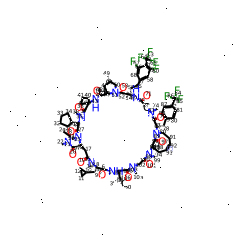 CC[C@H](C)[C@@H]1NC(=O)[C@H](CC2CC2)N(C)C(=O)C[C@@H](C(=O)N(C)CC)N(C)C(=O)[C@H](C2CCCC2)N(C)C(=O)C2(CCC2)NC(=O)[C@@H]2C[C@H](C)CN2C(=O)[C@H](CCc2cc(F)c(C(F)(F)F)c(F)c2)NC(=O)CN(C)C(=O)[C@H](Cc2ccc(C(F)(F)F)cc2)N2CC/C=C\C[C@@H](C2=O)N(C)C(=O)CN(C)C1=O